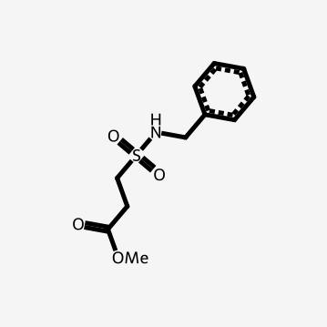 COC(=O)CCS(=O)(=O)NCc1ccccc1